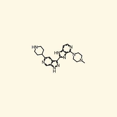 CN1CCN(c2nccc3[nH]c(-c4n[nH]c5cnc(C6CCNCC6)cc45)nc23)CC1